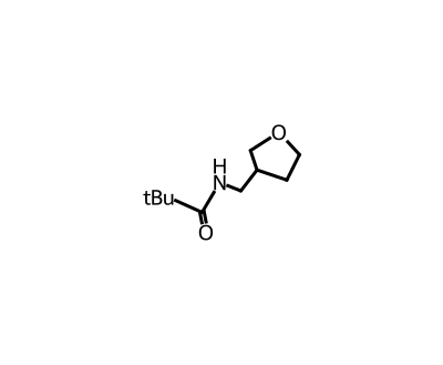 CC(C)(C)C(=O)NCC1CCOC1